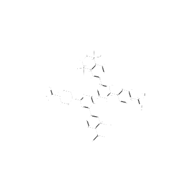 C=C(C)c1ccc(-c2ccnc(N3CCN(C(=N)N)CC3)n2)cc1C(C)(C)C.CC1(C)CCC(C)(C)c2cc(-c3ccnc(-c4ccc(C(=N)N)cc4)n3)ccc21